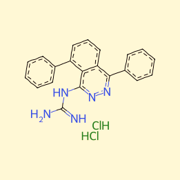 Cl.Cl.N=C(N)Nc1nnc(-c2ccccc2)c2cccc(-c3ccccc3)c12